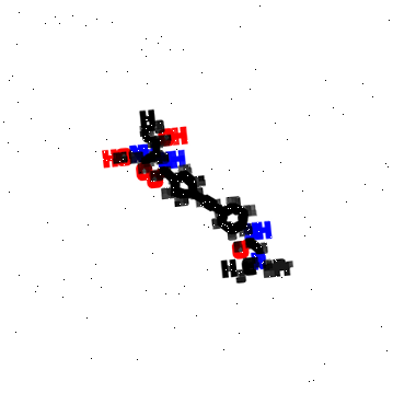 CCCN(C)CC(=O)Nc1ccc(C#Cc2ccc(C(=O)N[C@H](C(=O)NO)[C@@H](C)O)cc2)cc1